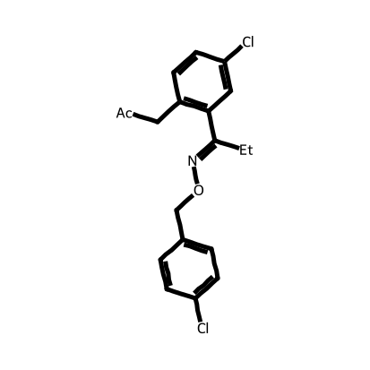 CC/C(=N\OCc1ccc(Cl)cc1)c1cc(Cl)ccc1CC(C)=O